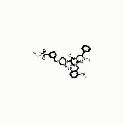 Cc1c(N2CCN(Cc3cccc(S(C)(=O)=O)c3)CC2)c(=O)n(CC(N)c2ccccc2)c(=O)n1Cc1c(F)cccc1C(F)(F)F